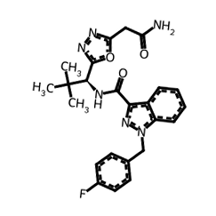 CC(C)(C)[C@H](NC(=O)c1nn(Cc2ccc(F)cc2)c2ccccc12)c1nnc(CC(N)=O)o1